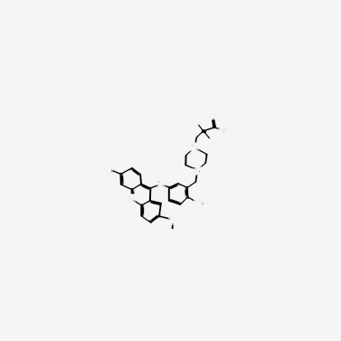 COc1ccc2nc3cc(Cl)ccc3c(Nc3ccc(O)c(CN4CCN(CC(C)(C)C(N)=O)CC4)c3)c2c1